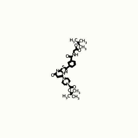 CC(C)(C)OC(=O)CNC(=O)c1cccc(-c2nn3c(N4CCN(C(=O)OC(C)(C)C)CC4)cc(=O)nc3s2)c1